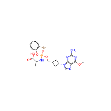 COc1nc(N)nc2c1ncn2[C@H]1C[C@@H](COP(=O)(NC(C)C(=O)O)Oc2ccccc2Br)C1